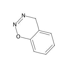 c1ccc2c(c1)CN=NO2